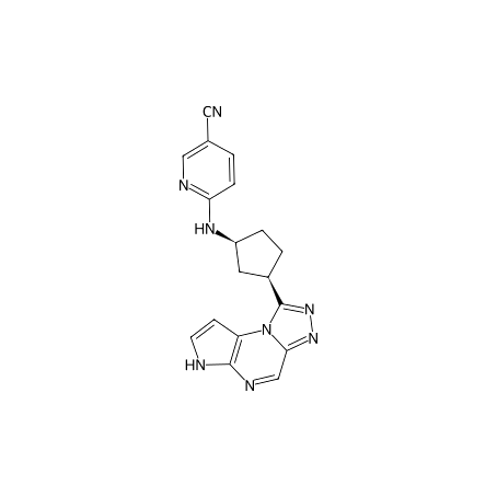 N#Cc1ccc(N[C@H]2CC[C@@H](c3nnc4cnc5[nH]ccc5n34)C2)nc1